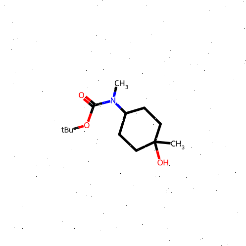 CN(C(=O)OC(C)(C)C)C1CCC(C)(O)CC1